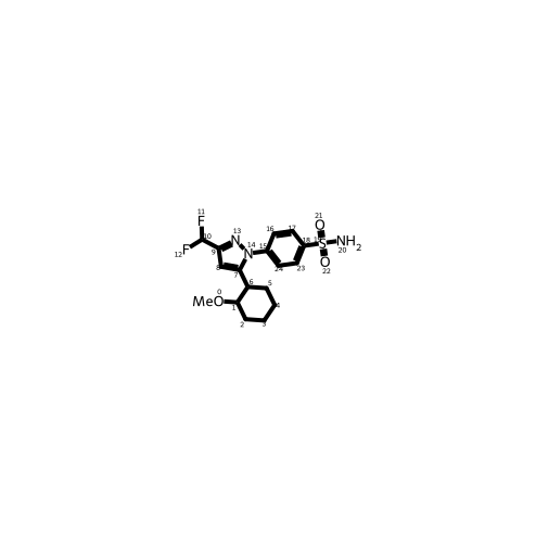 COC1CCCCC1c1cc(C(F)F)nn1-c1ccc(S(N)(=O)=O)cc1